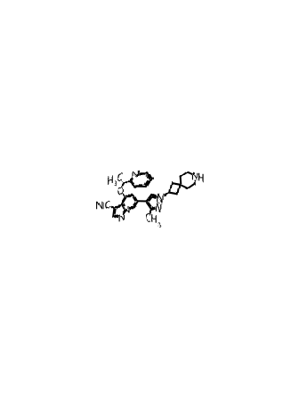 Cc1nn(C2CC3(CCNCC3)C2)cc1-c1cc(O[C@H](C)c2ccccn2)c2c(C#N)cnn2c1